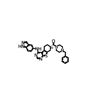 O=C([C@H]1CCc2c(sc3ncnc(Nc4ccc5[nH]ncc5c4)c23)C1)N1CCN(Cc2ccccc2)CC1